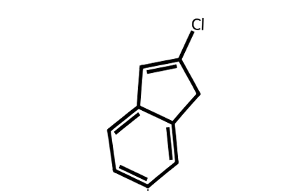 ClC1=Cc2cc[c]cc2C1